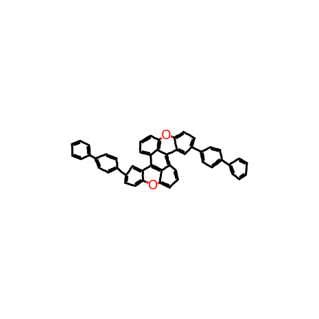 c1ccc(-c2ccc(-c3ccc4oc5cccc6c5c(c4c3)c3cccc4oc5ccc(-c7ccc(-c8ccccc8)cc7)cc5c6c43)cc2)cc1